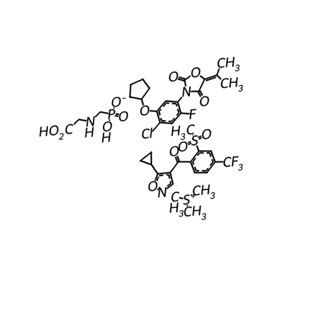 CC(C)=C1OC(=O)N(c2cc(OC3CCCC3)c(Cl)cc2F)C1=O.CS(=O)(=O)c1cc(C(F)(F)F)ccc1C(=O)c1cnoc1C1CC1.C[S+](C)C.O=C(O)CNCP(=O)([O-])O